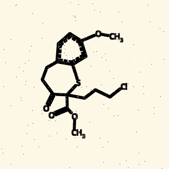 COC(=O)C1(CCCCl)Sc2cc(OC)ccc2CCC1=O